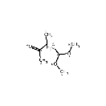 CCC(C)=O.COC(C)OC